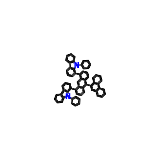 c1ccc(-n2c3ccccc3c3cccc(-c4cccc5c(-c6cc7ccccc7c7ccccc67)c6cccc(-c7cccc8c9ccccc9n(-c9ccccc9)c78)c6cc45)c32)cc1